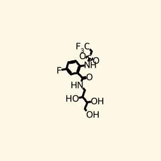 O=C(NCC(O)C(O)CO)c1cc(F)ccc1NS(=O)(=O)CC(F)(F)F